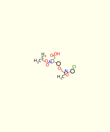 Cc1oc(-c2cccc(Cl)c2)nc1CCOc1cccc([C@H]2CN(C(=O)OCC(C)C)C[C@H]2CC(=O)O)c1